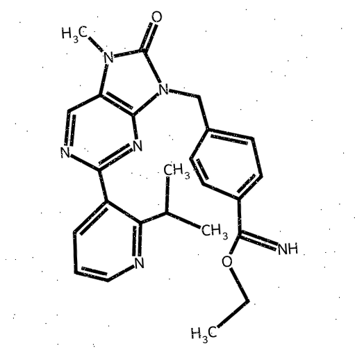 CCOC(=N)c1ccc(Cn2c(=O)n(C)c3cnc(-c4cccnc4C(C)C)nc32)cc1